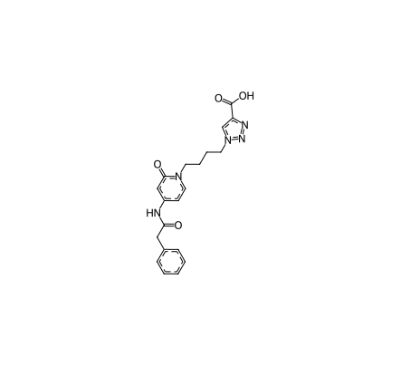 O=C(Cc1ccccc1)Nc1ccn(CCCCn2cc(C(=O)O)nn2)c(=O)c1